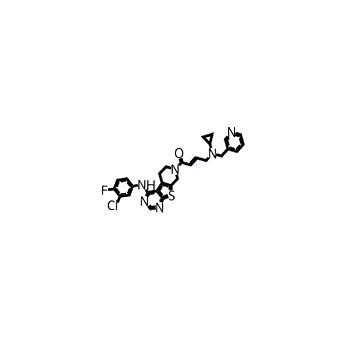 O=C(/C=C/CN(Cc1cccnc1)C1CC1)N1CCc2c(sc3ncnc(Nc4ccc(F)c(Cl)c4)c23)C1